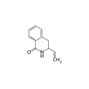 C=CC1Cc2ccccc2C(=O)N1